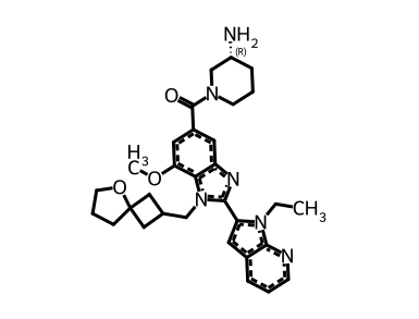 CCn1c(-c2nc3cc(C(=O)N4CCC[C@@H](N)C4)cc(OC)c3n2CC2CC3(CCCO3)C2)cc2cccnc21